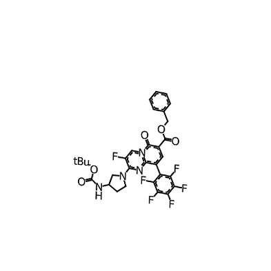 CC(C)(C)OC(=O)NC1CCN(c2nc3c(-c4c(F)c(F)c(F)c(F)c4F)cc(C(=O)OCc4ccccc4)c(=O)n3cc2F)C1